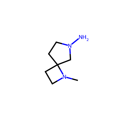 CN1CCC12CCN(N)C2